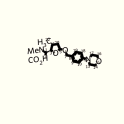 CNC(C(=O)O)[C@@H]1OC(OCc2ccc(N3CCOCC3)cc2)C[C@H]1C